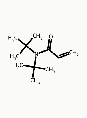 C=[C]C(=O)N(C(C)(C)C)C(C)(C)C